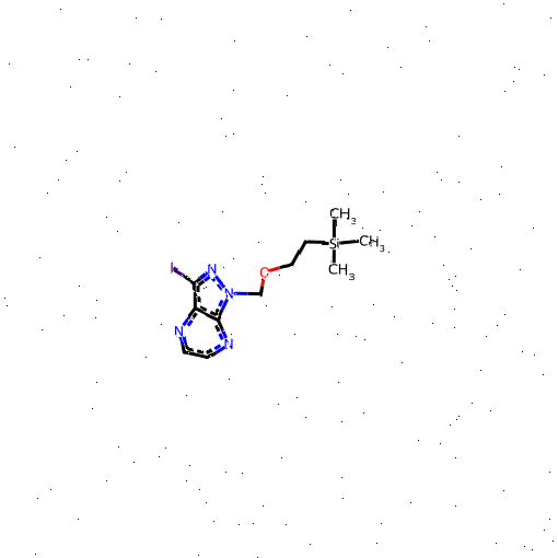 C[Si](C)(C)CCOCn1nc(I)c2nccnc21